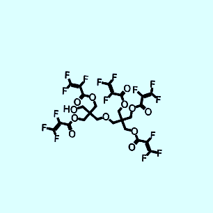 O=C(OCC(CO)(COCC(COC(=O)C(F)=C(F)F)(COC(=O)C(F)=C(F)F)COC(=O)C(F)=C(F)F)COC(=O)C(F)=C(F)F)C(F)=C(F)F